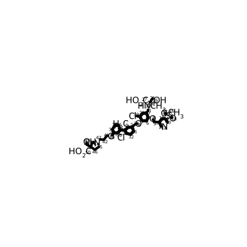 Cc1c(COc2cc(OCc3cncc(S(C)(=O)=O)c3)c(CN[C@](C)(CO)C(=O)O)cc2Cl)cccc1-c1cccc(OCCCN2CCC(CO)(C(=O)O)C2)c1Cl